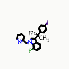 CC(C)C(C)(c1ccc(I)cc1)c1cn(Cc2ccccn2)c2c(F)cccc12